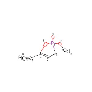 C#CC1=CCP(=O)(OC)O1